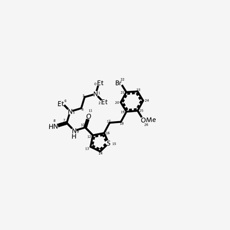 CCN(CC)CCN(CC)C(=N)NC(=O)c1ccsc1CCc1cc(Br)ccc1OC